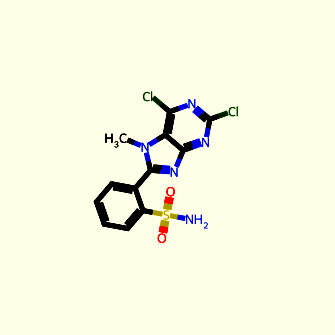 Cn1c(-c2ccccc2S(N)(=O)=O)nc2nc(Cl)nc(Cl)c21